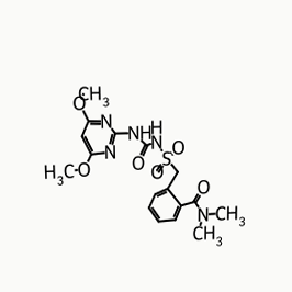 COc1cc(OC)nc(NC(=O)NS(=O)(=O)Cc2ccccc2C(=O)N(C)C)n1